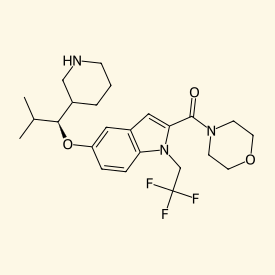 CC(C)[C@H](Oc1ccc2c(c1)cc(C(=O)N1CCOCC1)n2CC(F)(F)F)C1CCCNC1